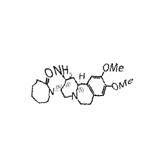 COc1cc2c(cc1OC)[C@@H]1C[C@H](N)[C@@H](N3CCCCCC3=O)CN1CC2